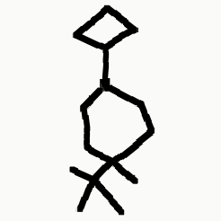 CC(C)(C)C1(C)CCN(C2CCC2)CC1